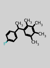 Cc1cc(C(C)c2ccc(F)cc2)c(C)c(C)c1C